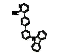 N#Cc1ncccc1-c1ccc(-c2cccc(-n3c4ccccc4c4ccccc43)c2)cc1